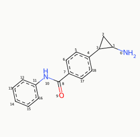 NC1CC1c1ccc(C(=O)Nc2ccccc2)cc1